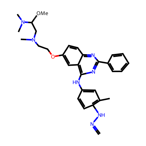 C=NNc1ccc(Nc2nc(-c3ccccc3)nc3ccc(OCCN(C)CC(OC)N(C)C)cc23)cc1C